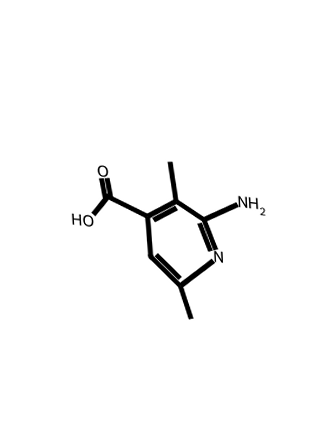 Cc1cc(C(=O)O)c(C)c(N)n1